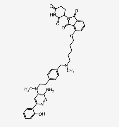 CN(CCCCCOc1cccc2c1C(=O)N(C1CCC(=O)NC1=O)C2=O)Cc1ccc(CCN(C)c2cc(-c3ccccc3O)nnc2N)cc1